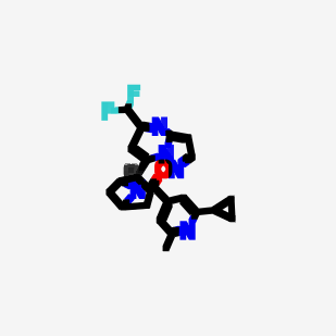 Cc1cc(C(=O)N2C3CC[C@H](c4cc(C(F)F)nc5ccnn45)C2C3)cc(C2CC2)n1